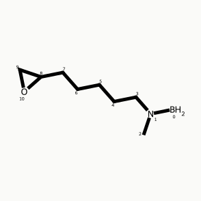 BN(C)CCCCCC1CO1